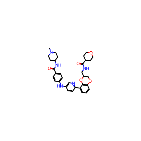 CN1CCC(NC(=O)c2ccc(Nc3ccc(-c4cccc5c4OC(CNC(=O)C4CCOCC4)CO5)nc3)cc2)CC1